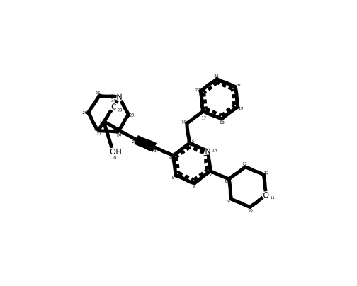 OC1(C#Cc2ccc(C3CCOCC3)nc2Cc2ccccc2)CN2CCC1CC2